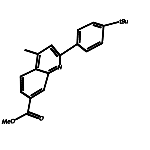 COC(=O)c1ccc2c(C)cc(-c3ccc(C(C)(C)C)cc3)nc2c1